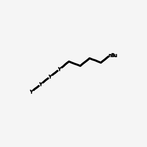 CCCCCCC[CH2][Y][Y][Y][Y]